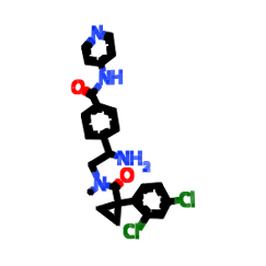 CN(CC(N)c1ccc(C(=O)Nc2ccncc2)cc1)C(=O)C1(c2ccc(Cl)cc2Cl)CC1